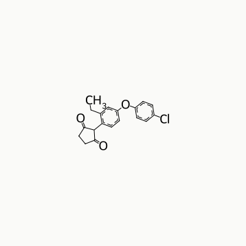 CCc1cc(Oc2ccc(Cl)cc2)ccc1C1C(=O)CCC1=O